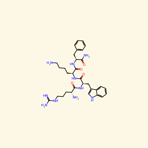 N=C(N)NCCC[C@@H](N)C(=O)N[C@H](Cc1c[nH]c2ccccc12)C(=O)N[C@@H](CCCCN)C(=O)N[C@@H](Cc1ccccc1)C(N)=O